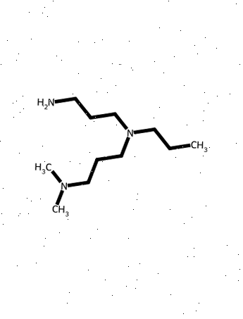 CCCN(CCCN)CCCN(C)C